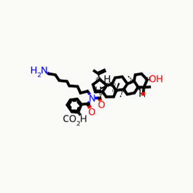 C=C(C)[C@@H]1CC[C@]2(C(=O)N(CCCCCCCCN)C(=O)c3ccccc3C(=O)O)CC[C@]3(C)[C@H](CCC4[C@@]5(C)CC[C@H](O)C(C)(C)[C@@H]5CC[C@]43C)[C@@H]12